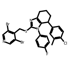 Cc1cc(C2CCCc3nc(SCc4c(Br)cncc4Br)n(-c4ccc(F)cc4)c32)ccc1Cl